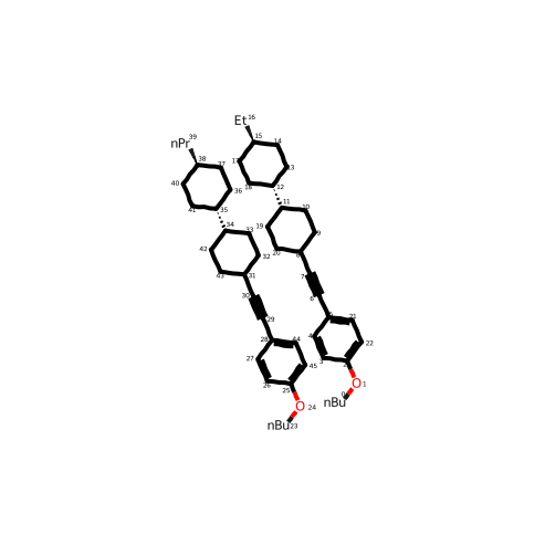 CCCCOc1ccc(C#CC2CCC([C@H]3CC[C@H](CC)CC3)CC2)cc1.CCCCOc1ccc(C#CC2CCC([C@H]3CC[C@H](CCC)CC3)CC2)cc1